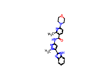 Cc1nc(N2CCOCC2)ccc1C(=O)Nc1cc(-c2nc3ccccc3[nH]2)n(C)n1